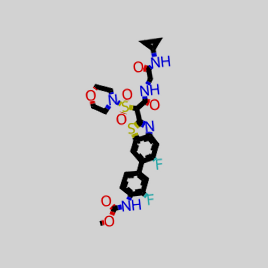 COC(=O)Nc1ccc(-c2cc3sc(C(C(=O)NCC(=O)NC4CC4)S(=O)(=O)N4CCOCC4)nc3cc2F)cc1F